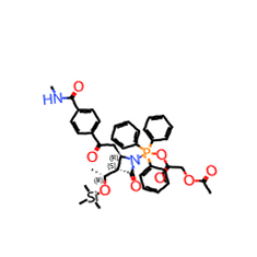 CNC(=O)c1ccc(C(=O)C[C@@H]2[C@@H]([C@@H](C)O[Si](C)(C)C)C(=O)N2P(OC(=O)COC(C)=O)(c2ccccc2)(c2ccccc2)c2ccccc2)cc1